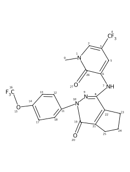 Cn1cc(C(F)(F)F)cc(Nc2nn(-c3ccc(OC(F)(F)F)cc3)c(=O)c3c2CCC3)c1=O